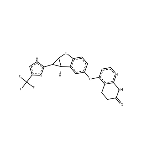 O=C1CCc2c(Oc3ccc4c(c3)[C@@H]3C(O4)C3c3nc(C(F)(F)F)c[nH]3)ccnc2N1